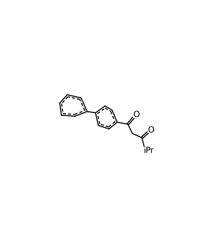 CC(C)C(=O)CC(=O)c1ccc(-c2ccccc2)cc1